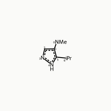 CNc1cn[nH]c1C(C)C